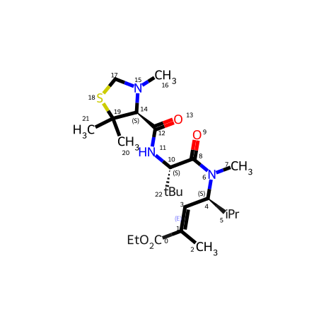 CCOC(=O)/C(C)=C/[C@H](C(C)C)N(C)C(=O)[C@@H](NC(=O)[C@@H]1N(C)CSC1(C)C)C(C)(C)C